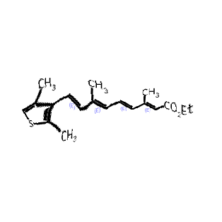 CCOC(=O)/C=C(C)/C=C/C=C(C)/C=C/c1c(C)csc1C